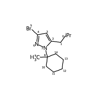 CC(C)Cc1cc(Br)nn1C1(C)CCCCC1